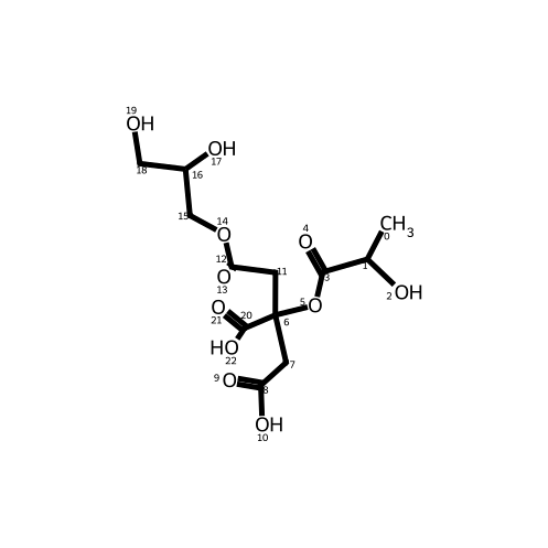 CC(O)C(=O)OC(CC(=O)O)(CC(=O)OCC(O)CO)C(=O)O